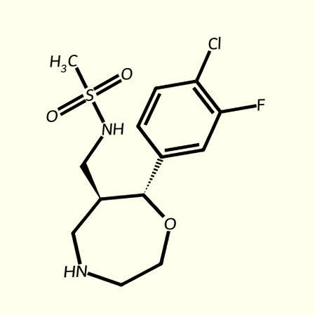 CS(=O)(=O)NC[C@@H]1CNCCO[C@H]1c1ccc(Cl)c(F)c1